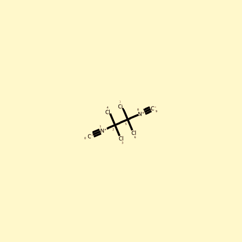 [C-]#[N+]C(Cl)(Cl)C(Cl)(Cl)[N+]#[C-]